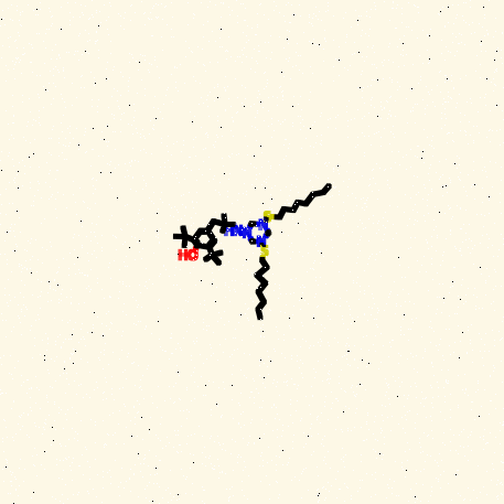 CCCCCCCCSN1CN(NCC(C)(C)Cc2cc(C(C)(C)C)c(O)c(C(C)(C)C)c2)CN(SCCCCCCCC)C1